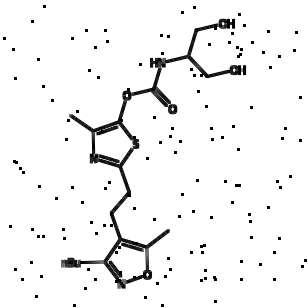 CCCCc1noc(C)c1CCc1nc(C)c(OC(=O)NC(CO)CO)s1